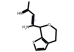 CC(=N)/C=C(\N)C1OCCc2ccsc21